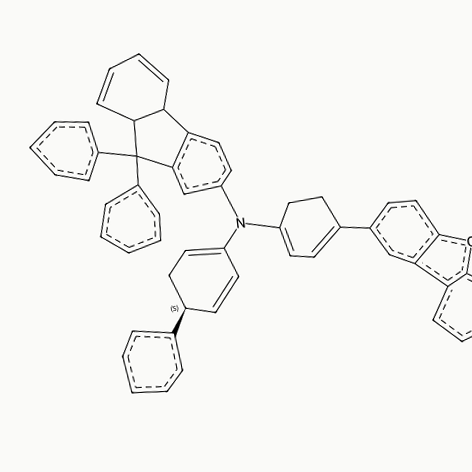 C1=CC2c3ccc(N(C4=CC[C@H](c5ccccc5)C=C4)C4=CC=C(c5ccc6oc7ccccc7c6c5)CC4)cc3C(c3ccccc3)(c3ccccc3)C2C=C1